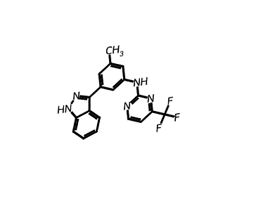 Cc1cc(Nc2nccc(C(F)(F)F)n2)cc(-c2n[nH]c3ccccc23)c1